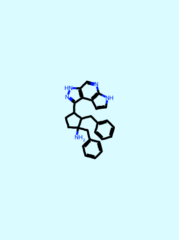 NC1(Cc2ccccc2)CCC(c2n[nH]c3cnc4[nH]ccc4c23)C1Cc1ccccc1